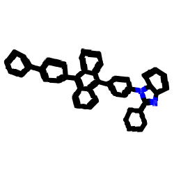 C1=CC2N=C(C3CCCCC3)N(c3ccc(-c4c5ccccc5c(-c5ccc(-c6ccccc6)cc5)c5ccccc45)cc3)C2C=C1